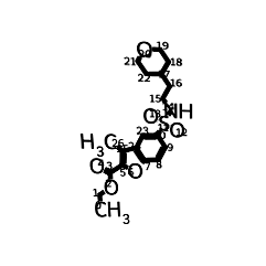 CCOC(=O)c1oc2ccc(S(=O)(=O)NCCC3CCOCC3)cc2c1C